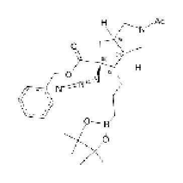 CC(=O)N1C[C@@H]2C[C@@](N=[N+]=[N-])(C(=O)OCc3ccccc3)[C@@H](CCCB3OC(C)(C)C(C)(C)O3)[C@@H]2C1